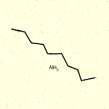 [AlH3].[CH2]CCCCCCCCC